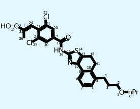 CCCOCCCc1cccc2c1CCc1sc(NC(=O)c3cc(Cl)c(/C=C(\C)C(=O)O)c(Cl)c3)nc1-2